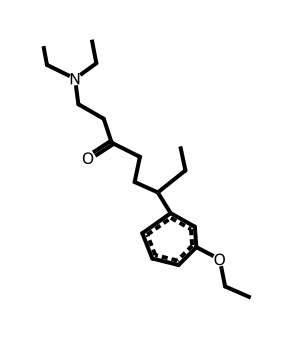 CCOc1cccc(C(CC)CCC(=O)CCN(CC)CC)c1